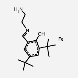 CC(C)(C)c1cc(C=NCCN)c(O)c(C(C)(C)C)c1.[Fe]